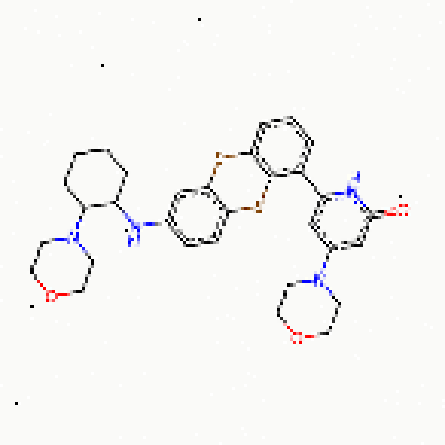 O=c1cc(N2CCOCC2)cc(-c2cccc3c2Sc2ccc(NC4CCCCC4N4CCOCC4)cc2S3)[nH]1